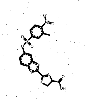 Cc1cc(S(=O)(=O)Oc2ccc3nc(C4=NC(C(=O)O)CS4)sc3c2)ccc1[N+](=O)[O-]